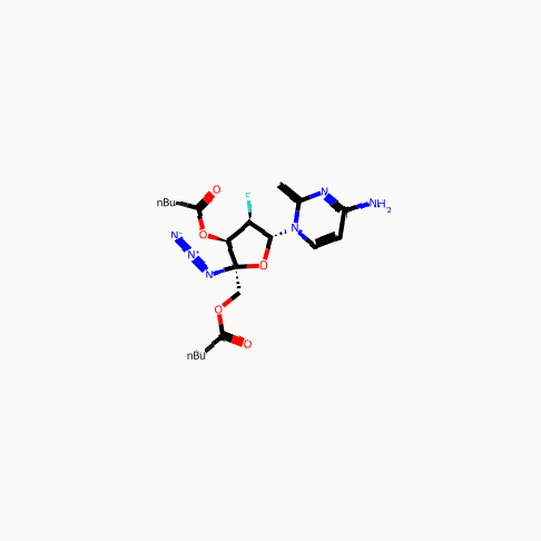 C=C1N=C(N)C=CN1[C@@H]1O[C@@](COC(=O)CCCC)(N=[N+]=[N-])[C@@H](OC(=O)CCCC)[C@H]1F